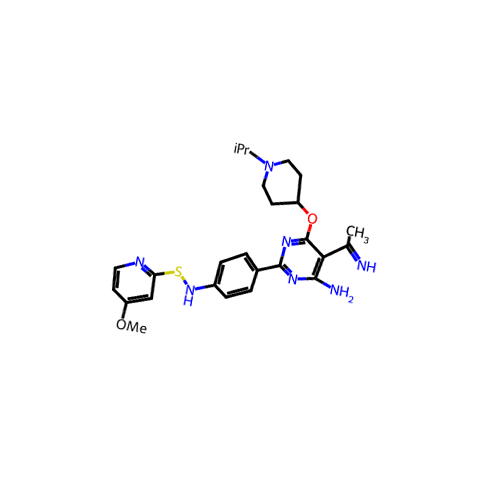 COc1ccnc(SNc2ccc(-c3nc(N)c(C(C)=N)c(OC4CCN(C(C)C)CC4)n3)cc2)c1